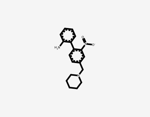 Nc1ccccc1-c1ccc(CN2CCCCC2)cc1[N+](=O)[O-]